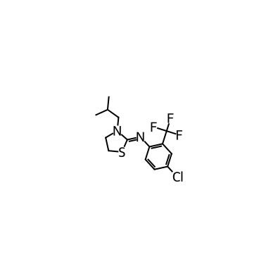 CC(C)CN1CCSC1=Nc1ccc(Cl)cc1C(F)(F)F